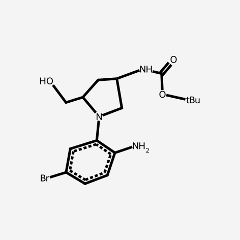 CC(C)(C)OC(=O)NC1CC(CO)N(c2cc(Br)ccc2N)C1